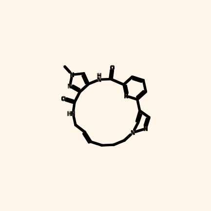 Cn1cc2c(n1)C(=O)NC/C=C/CCCn1cc(cn1)-c1cccc(n1)C(=O)N2